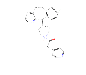 O=C(Cc1ccncc1)[N+]1([O-])CCC(C2c3ccc(Cl)cc3CCc3cccnc32)CC1